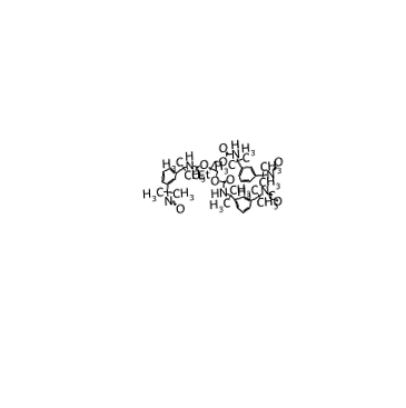 CCC(COC(=O)NC(C)(C)c1cccc(C(C)(C)N=C=O)c1)(COC(=O)NC(C)(C)c1cccc(C(C)(C)N=C=O)c1)OC(=O)NC(C)(C)c1cccc(C(C)(C)N=C=O)c1